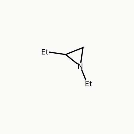 [CH2]CN1CC1CC